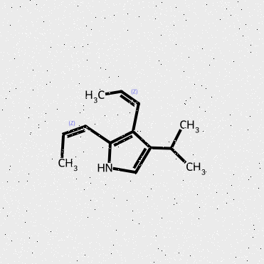 C/C=C\c1[nH]cc(C(C)C)c1/C=C\C